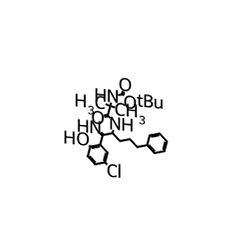 CC(C)(C)OC(=O)NC(C)(C)C(=O)NC(CCCc1ccccc1)C(=N)c1cc(Cl)ccc1O